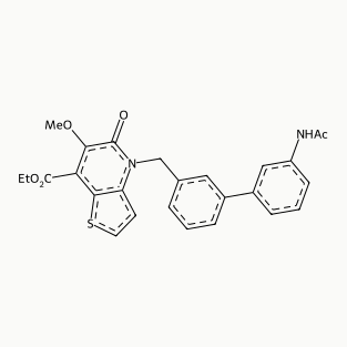 CCOC(=O)c1c(OC)c(=O)n(Cc2cccc(-c3cccc(NC(C)=O)c3)c2)c2ccsc12